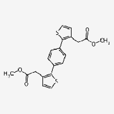 COC(=O)Cc1ccsc1-c1ccc(-c2sccc2CC(=O)OC)cc1